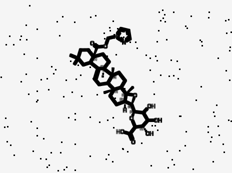 CC1(C)CC[C@]2(C(=O)OCn3cccn3)CC[C@]3(C)C(=CCC4[C@@]5(C)CC[C@@H]6[C@H]([C@@H]7OC(C(=O)O)[C@@H](O)C(O)C7O)O[C@@]6(C)C5CC[C@]43C)C2C1